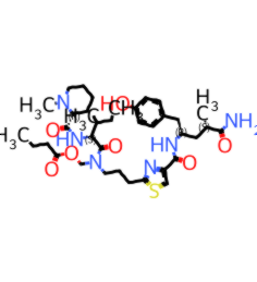 CCCC(=O)OCN(CCCc1nc(C(=O)N[C@@H](Cc2ccc(O)cc2)C[C@H](C)C(N)=O)cs1)C(=O)[C@@H](NC(=O)[C@H]1CCCCN1C)C(C)CC